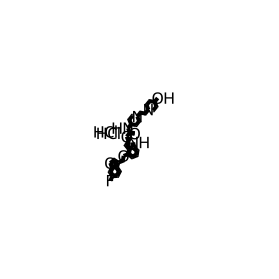 Cl.Cl.O=C(NC1CCN(CCN2CCC(O)CC2)CC1)Oc1cc2c(OCc3coc4cc(F)ccc34)cccc2[nH]1